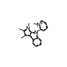 Cc1c(C)n(C)c2c1c1ccccc1n2-c1cccc[n+]1C